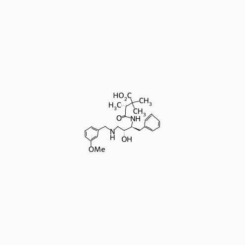 COc1cccc(CNC[C@@H](O)[C@H](Cc2ccccc2)NC(=O)[C@H](C)C(C)(C)C(=O)O)c1